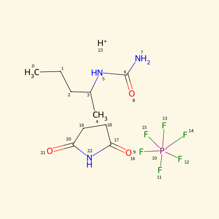 CCCC(C)NC(N)=O.F[P-](F)(F)(F)(F)F.O=C1CCC(=O)N1.[H+]